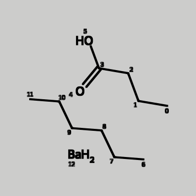 CCCC(=O)O.CCCCCC.[BaH2]